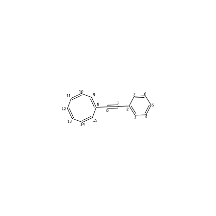 C(#Cc1ccccc1)C1=C/C=C\C=C/C=C\1